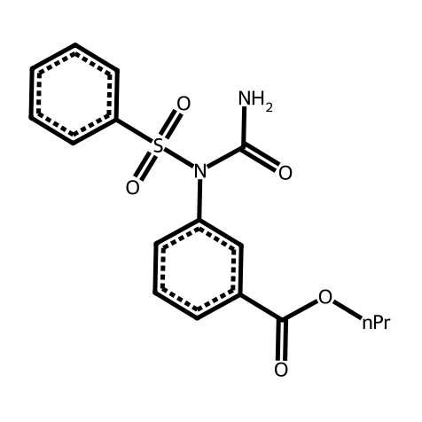 CCCOC(=O)c1cccc(N(C(N)=O)S(=O)(=O)c2ccccc2)c1